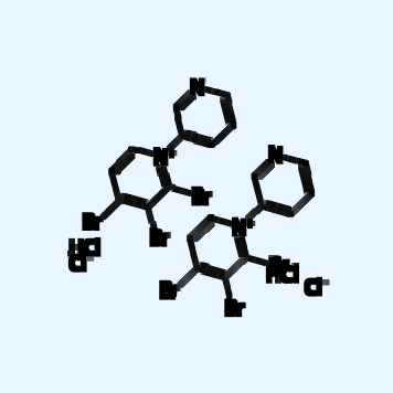 Brc1cc[n+](-c2cccnc2)c(Br)c1Br.Brc1cc[n+](-c2cccnc2)c(Br)c1Br.Cl.Cl.[Cl-].[Cl-]